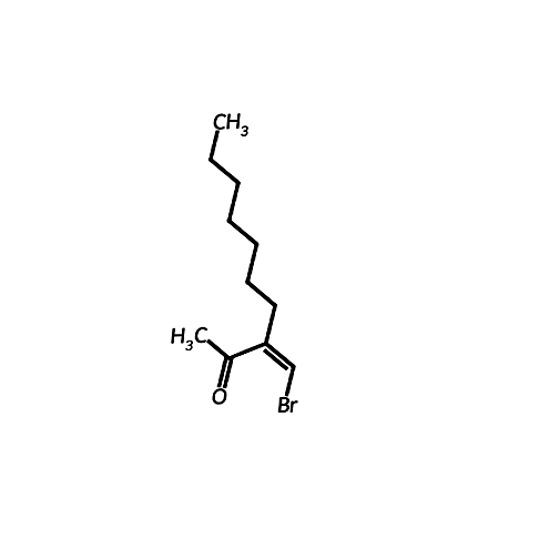 CCCCCCC/C(=C/Br)C(C)=O